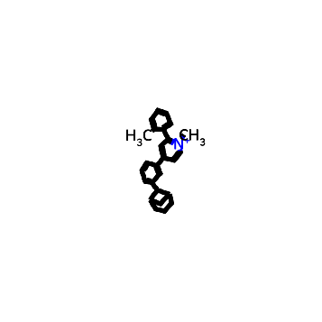 Cc1ccccc1-c1cc(-c2cccc(C3C4CCCC3C4)c2)cc[n+]1C